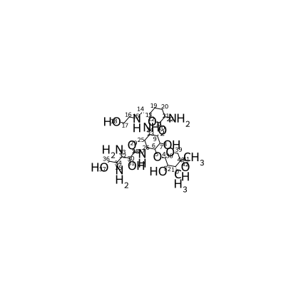 C[C@@H]1C(O)[C@@H](OC2C(O)C(O[C@H]3O[C@H](CNCCO)CCC3N)[C@@H](N)C[C@H]2NC(=O)[C@@H](O)[C@@H](N)[C@@H](N)CO)OCC1(C)O